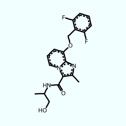 Cc1nc2c(OCc3c(F)cccc3F)cccn2c1C(=O)NC(C)CO